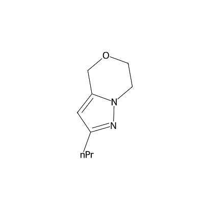 CCCc1cc2n(n1)CCOC2